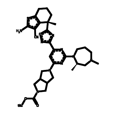 C[C@H]1CN(C)CCCN1c1nc(-c2noc([C@@]3(C)CCCc4sc(N)c(C#N)c43)n2)cc(N2CC3CN(C(=O)OC(C)(C)C)CC3C2)n1